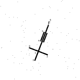 CC(C)(C)C#CF